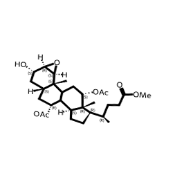 COC(=O)CC[C@@H](C)[C@H]1CC[C@H]2C3C(C[C@H](OC(C)=O)[C@]12C)[C@]1(C)[C@H](C[C@H]3OC(C)=O)C[C@H](O)[C@H]2O[C@H]21